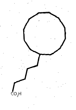 O=C(O)CCCCC1CCCCCCCCCCC1